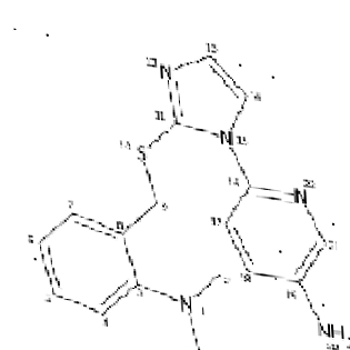 CN(C)c1ccccc1CSc1nccn1-c1ccc(N)cn1